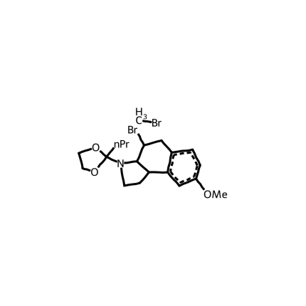 CBr.CCCC1(N2CCC3c4cc(OC)ccc4CC(Br)C32)OCCO1